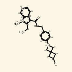 CCc1c(C(=O)NCc2ccc(N3CC4(CC(F)C4)C3)cc2)c2ccncc2n1C